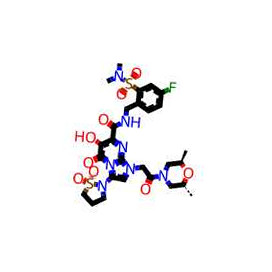 C[C@@H]1CN(C(=O)Cn2cc(N3CCCS3(=O)=O)n3c(=O)c(O)c(C(=O)NCc4ccc(F)cc4S(=O)(=O)N(C)C)nc23)C[C@@H](C)O1